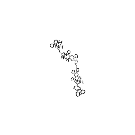 COc1cc2c(cc1OCCCOc1cc3c(cc1OC)C(=O)N1C=C(c4ccc5c(c4)OCO5)C[C@H]1C=N3)N=C[C@@H]1CC(C=CCNC(=O)O)=CN1C2=O